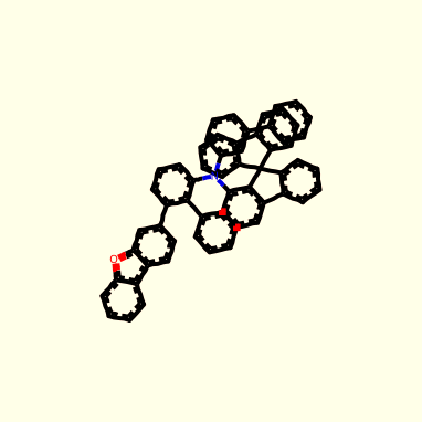 c1ccc(-c2cccc(N(c3cccc(-c4ccc5c(c4)oc4ccccc45)c3-c3ccccc3)c3cccc4c3C3(c5ccccc5-c5ccccc53)c3ccccc3-4)c2)cc1